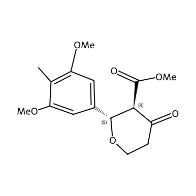 COC(=O)[C@H]1C(=O)CCO[C@@H]1c1cc(OC)c(C)c(OC)c1